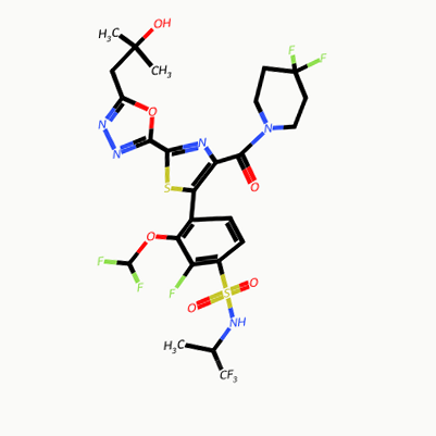 CC(NS(=O)(=O)c1ccc(-c2sc(-c3nnc(CC(C)(C)O)o3)nc2C(=O)N2CCC(F)(F)CC2)c(OC(F)F)c1F)C(F)(F)F